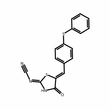 N#CN=C1NC(=O)C(=Cc2ccc(Sc3ccccc3)cc2)S1